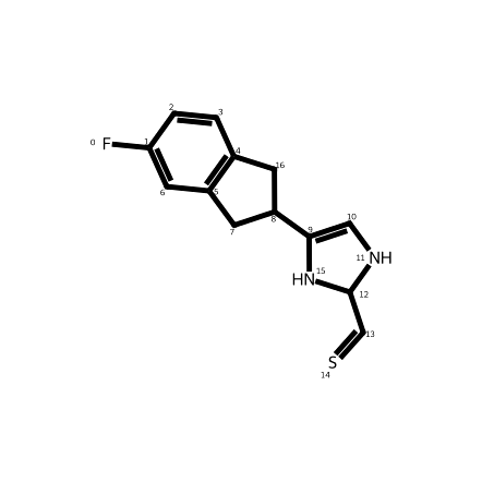 Fc1ccc2c(c1)CC(C1=CNC(C=S)N1)C2